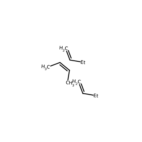 C/C=C\C.C=CCC.C=CCC